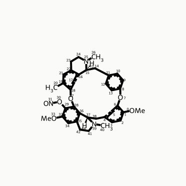 COc1ccc2cc1Oc1ccc(cc1)C[C@H]1c3cc(c(C)cc3CCN1C)Oc1c(ON=O)c(OC)cc3c1[C@H](C2)N(C)CC3